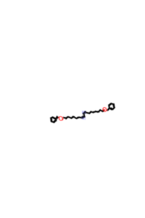 C(/C=C\CCCCCCCOCc1ccccc1)=C/CCCCCCCOCc1ccccc1